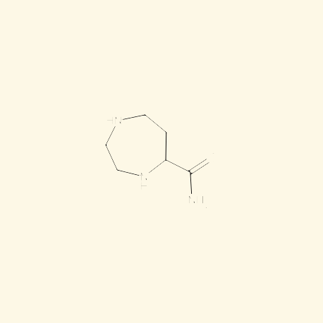 NC(=O)C1CCNCCN1